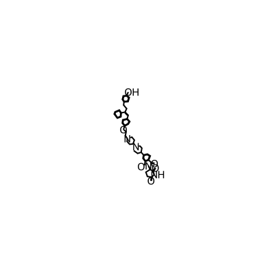 O=C1CCC(N2C(=O)c3ccc(C4CCN(C5CCN(CCOc6ccc(/C=C(/CCc7ccc(O)cc7)c7ccccc7)cc6)CC5)CC4)cc3C2=O)C(=O)N1